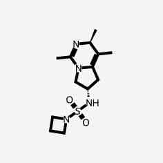 CC1=N[C@@H](C)C(C)=C2C[C@H](NS(=O)(=O)N3CCC3)CN12